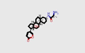 C[C@@H](N)C(=O)N[C@@H]1CC[C@]2(C)[C@H](CC[C@@H]3[C@H]2CC[C@]2(C)[C@@H](c4ccc(=O)oc4)CC[C@@]32O)C1